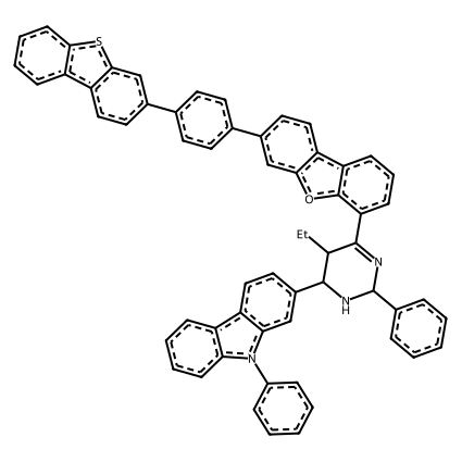 CCC1C(c2cccc3c2oc2cc(-c4ccc(-c5ccc6c(c5)sc5ccccc56)cc4)ccc23)=NC(c2ccccc2)NC1c1ccc2c3ccccc3n(-c3ccccc3)c2c1